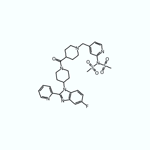 CS(=O)(=O)N(c1cc(CN2CCC(C(=O)N3CCC(n4c(-c5ccccn5)nc5cc(F)ccc54)CC3)CC2)ccn1)S(C)(=O)=O